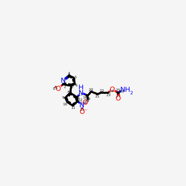 COc1ncccc1-c1cccc([N+](=O)[O-])c1NC(C)CCCCOC(N)=O